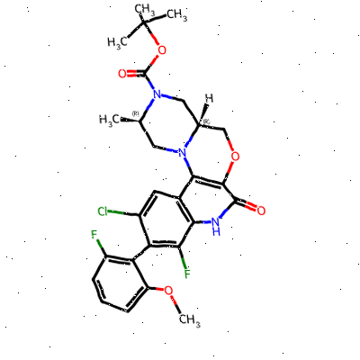 COc1cccc(F)c1-c1c(Cl)cc2c3c(c(=O)[nH]c2c1F)OC[C@H]1CN(C(=O)OC(C)(C)C)[C@H](C)CN31